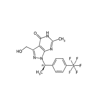 Cc1nc2c(c(CO)nn2[C@H](C)c2ccc(S(F)(F)(F)(F)F)cc2)c(=O)[nH]1